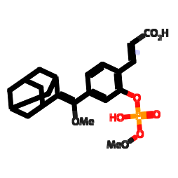 COOP(=O)(O)Oc1cc(C(OC)=C2C3CC4CC(C3)CC2C4)ccc1/C=C/C(=O)O